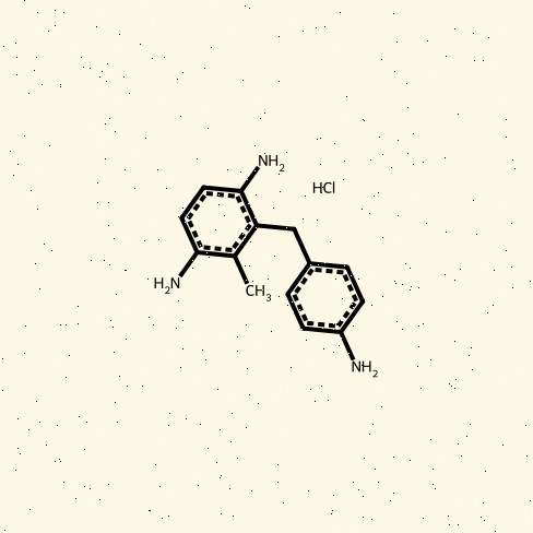 Cc1c(N)ccc(N)c1Cc1ccc(N)cc1.Cl